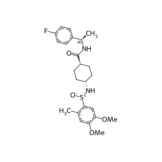 COc1cc(C)c([S+]([O-])N[C@H]2CC[C@H](C(=O)N[C@H](C)c3ccc(F)cc3)CC2)cc1OC